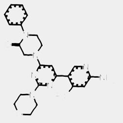 Nc1cc(C(F)(F)F)c(-c2cc(N3CCN(c4ccccc4)C(=O)C3)nc(N3CCOCC3)n2)cn1